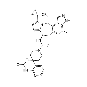 Cc1cc2c(c3cn[nH]c13)Cn1c(C3(C(F)(F)F)CC3)cnc1[C@H](NC(=O)N1CCC3(CC1)OC(=O)Nc1ncccc13)C2